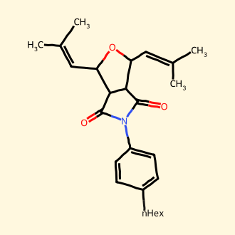 CCCCCCc1ccc(N2C(=O)C3C(C=C(C)C)OC(C=C(C)C)C3C2=O)cc1